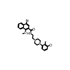 COc1c(C(=O)NCCN2CCN(c3cccc(Cl)c3C)CC2)cc(Br)c2ccccc12